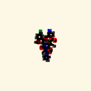 CCOC(=O)c1sc2c(c1C)c(=O)n(C(C)C(=O)N1CCCC1)c(=O)n2CC(OCCC#N)c1cc(F)ccc1OC